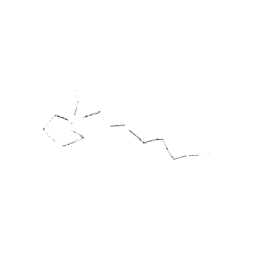 C[N+]1(CCCCCCO)CCCC1